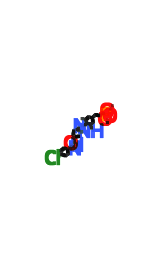 CCOP(=O)(CC=Cc1cc(C)c(-c2nc3ccc(-c4nnc(-c5ccc(Cl)cc5)o4)cc3[nH]2)c(C)c1)OCC